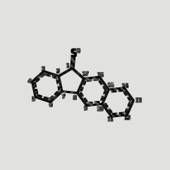 S=C1c2ccccc2-c2cc3ccccc3cc21